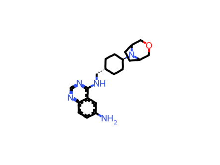 Nc1ccc2ncnc(NC[C@H]3CC[C@H](N4C5CCC4COC5)CC3)c2c1